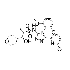 COc1cccc(-c2nnc(NS(=O)(=O)[C@H](C)[C@@H](O)C3CCOCC3)n2-c2c(OC)cccc2OC)n1